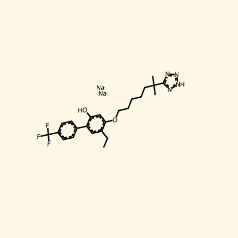 CCc1cc(-c2ccc(C(F)(F)F)cc2)c(O)cc1OCCCCCC(C)(C)c1nn[nH]n1.[Na].[Na]